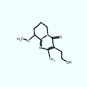 COC1CCCn2c1nc(C)c(CCO)c2=O